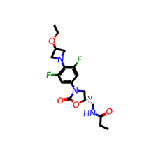 CCOC1CN(c2c(F)cc(N3C[C@H](CNC(=O)CC)OC3=O)cc2F)C1